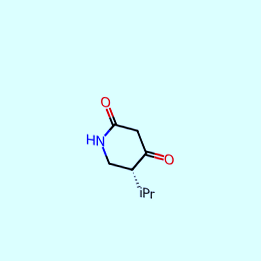 CC(C)[C@@H]1CNC(=O)CC1=O